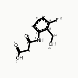 O=C(O)CC(=O)Nc1cccc(F)c1CO